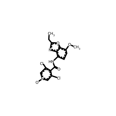 CCc1nc2c(NC(=O)c3c(Cl)c[n+]([O-])cc3Cl)ccc(OC)c2o1